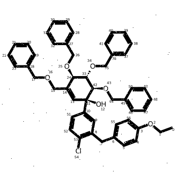 CCOc1ccc(Cc2cc([C@]3(O)C=C(COCc4ccccc4)[C@@H](OCc4ccccc4)[C@H](OCc4ccccc4)[C@H]3OCc3ccccc3)ccc2Cl)cc1